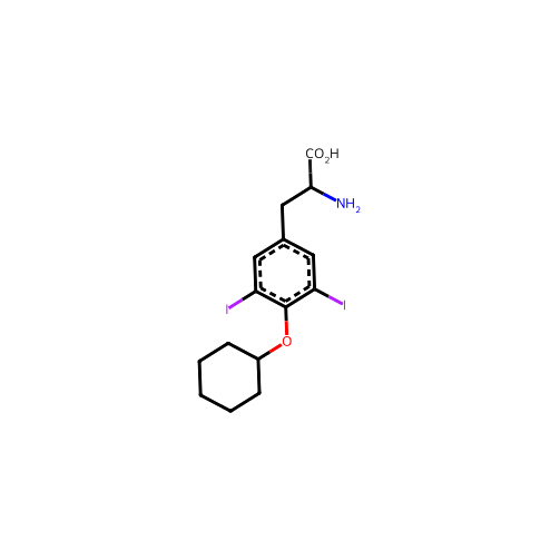 NC(Cc1cc(I)c(OC2CCCCC2)c(I)c1)C(=O)O